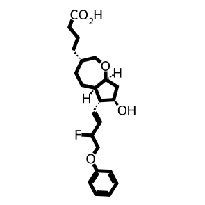 O=C(O)CCC[C@H]1CC[C@@H]2[C@@H](/C=C/C(F)COc3ccccc3)[C@H](O)C[C@@H]2OC1